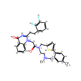 CCN(CC)CCN(Cc1ccc(-c2ccc(C(F)(F)F)cc2)s1)C(=O)Cn1c(CCc2cccc(F)c2F)nc(=O)c2ccccc21